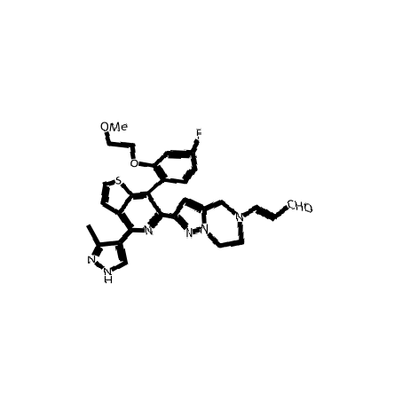 COCCOc1cc(F)ccc1-c1c(-c2cc3n(n2)CCN(C=CC=O)C3)nc(-c2c[nH]nc2C)c2ccsc12